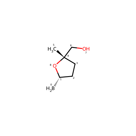 B[C@H]1CC[C@@](C)(CO)O1